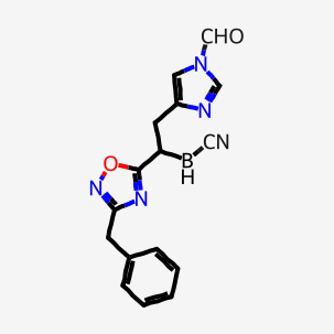 N#CBC(Cc1cn(C=O)cn1)c1nc(Cc2ccccc2)no1